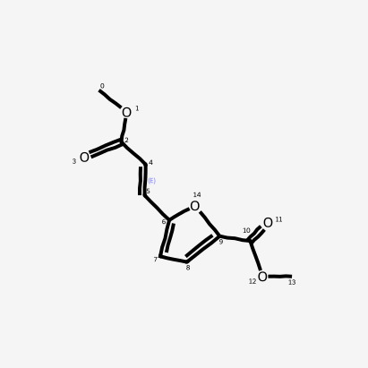 COC(=O)/C=C/c1ccc(C(=O)OC)o1